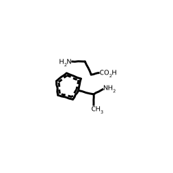 CC(N)c1ccccc1.NCCC(=O)O